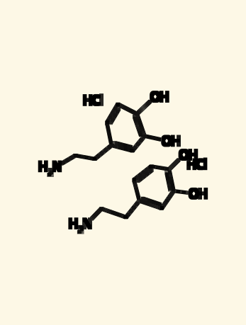 Cl.Cl.NCCc1ccc(O)c(O)c1.NCCc1ccc(O)c(O)c1